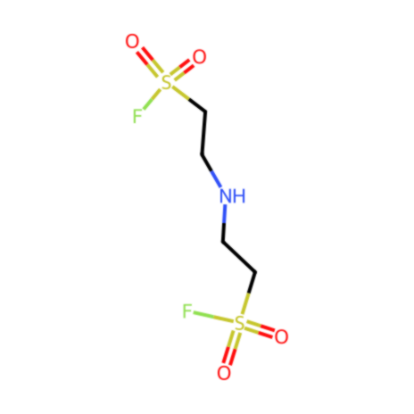 O=S(=O)(F)CCNCCS(=O)(=O)F